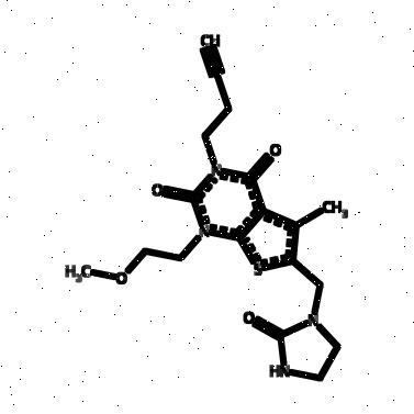 C#CCCn1c(=O)c2c(C)c(CN3CCNC3=O)sc2n(CCOC)c1=O